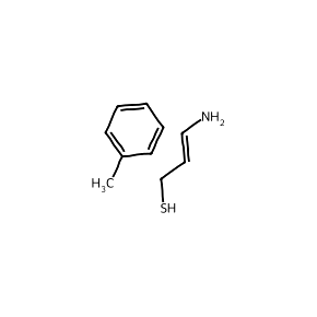 Cc1ccccc1.NC=CCS